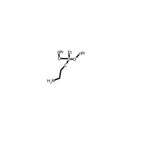 CCCO[Si](CC)(CCCN)OCCC